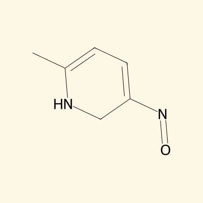 CC1=CC=C(N=O)CN1